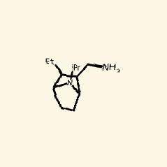 CCC1C(CN)C2CCC1N2C(C)C